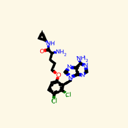 Nc1ncnc2c1ncn2Cc1c(OCCCC(N)C(=O)NC2CC2)ccc(Cl)c1Cl